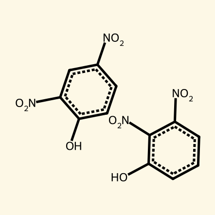 O=[N+]([O-])c1ccc(O)c([N+](=O)[O-])c1.O=[N+]([O-])c1cccc(O)c1[N+](=O)[O-]